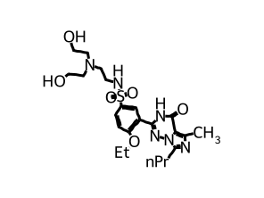 CCCc1nc(C)c2c(=O)[nH]c(-c3cc(S(=O)(=O)NCCN(CCO)CCO)ccc3OCC)nn12